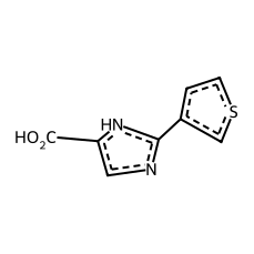 O=C(O)c1cnc(-c2ccsc2)[nH]1